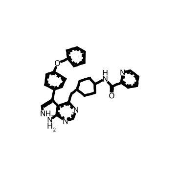 N/C=C(/c1ccc(Oc2ccccc2)cc1)c1c(N)ncnc1CC1CCC(NC(=O)c2ccccn2)CC1